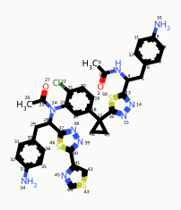 CC(=O)NC(Cc1ccc(N)cc1)c1nnc(C2(c3ccc(Cl)c(N(C(C)=O)C(Cc4ccc(N)cc4)c4nnc(-c5cscn5)s4)c3)CC2)s1